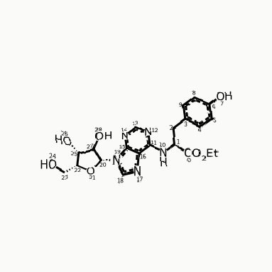 CCOC(=O)[C@H](Cc1ccc(O)cc1)Nc1ncnc2c1ncn2[C@@H]1O[C@H](CO)[C@H](O)C1O